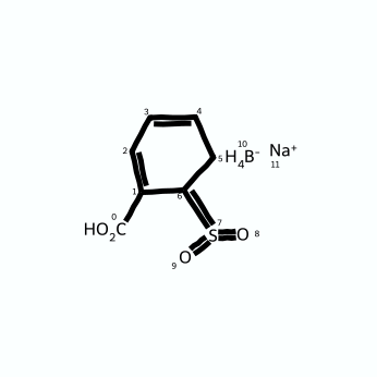 O=C(O)C1=CC=CCC1=S(=O)=O.[BH4-].[Na+]